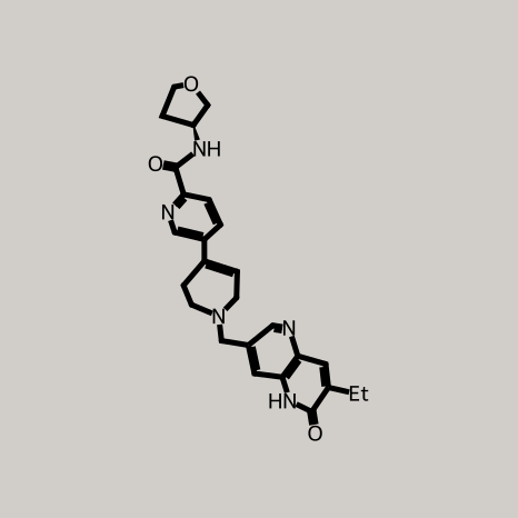 CCc1cc2ncc(CN3CC=C(c4ccc(C(=O)N[C@H]5CCOC5)nc4)CC3)cc2[nH]c1=O